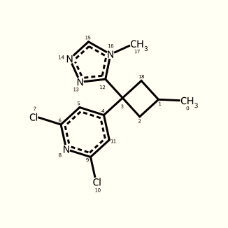 CC1CC(c2cc(Cl)nc(Cl)c2)(c2nncn2C)C1